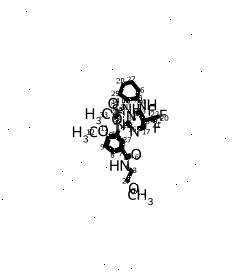 COCCNC(=O)c1ccc(OC)c(Nc2ncc(C(F)(F)F)c(N[C@@H]3CCCC[C@H]3NS(C)(=O)=O)n2)c1